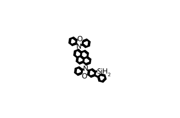 c1ccc2c(c1)Oc1ccccc1N2c1ccc2ccc3c(N4c5ccccc5Oc5cc6c(cc54)[SiH2]c4ccccc4-6)ccc4ccc1c2c43